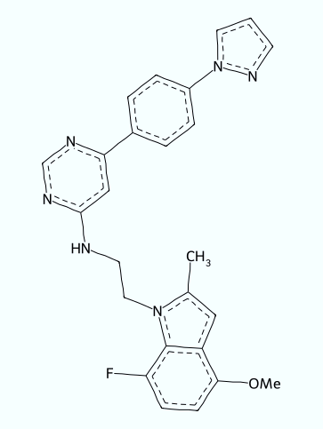 COc1ccc(F)c2c1cc(C)n2CCNc1cc(-c2ccc(-n3cccn3)cc2)ncn1